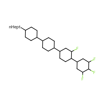 CCCCCCCC1CCC(C2CCC(C3CCC(C4CC(F)C(F)C(F)C4)C(F)C3)CC2)CC1